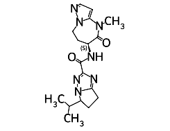 CC(C)C1CCc2nc(C(=O)N[C@H]3CCn4nccc4N(C)C3=O)nn21